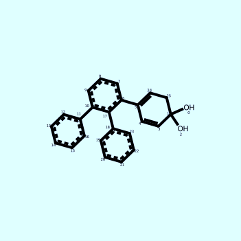 OC1(O)C=CC(c2cccc(-c3ccccc3)c2-c2ccccc2)=CC1